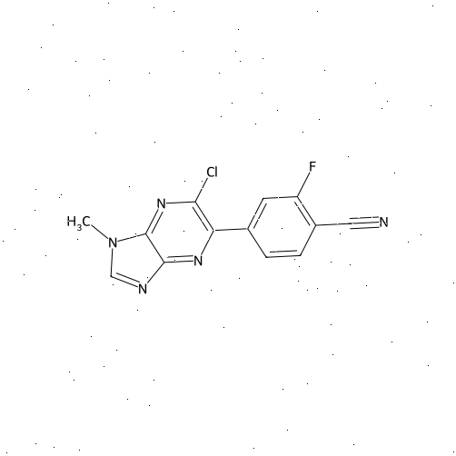 Cn1cnc2nc(-c3ccc(C#N)c(F)c3)c(Cl)nc21